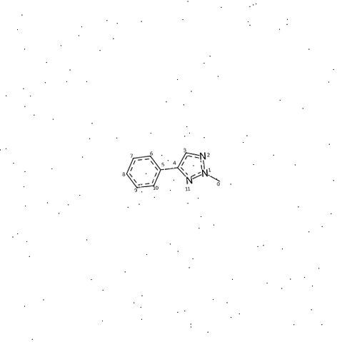 Cn1ncc(-c2ccccc2)n1